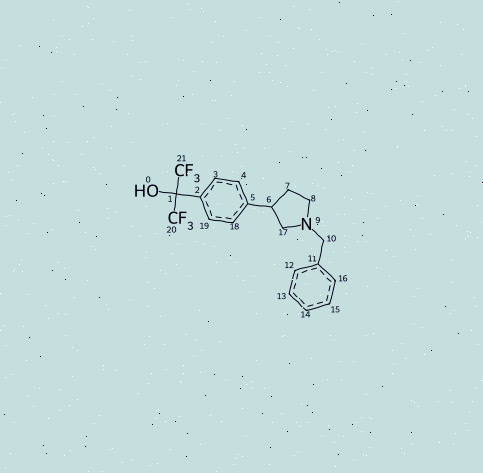 OC(c1ccc(C2CCN(Cc3ccccc3)C2)cc1)(C(F)(F)F)C(F)(F)F